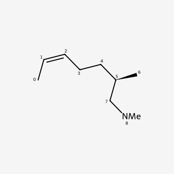 C/C=C\CC[C@@H](C)CNC